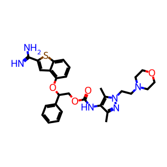 Cc1nn(CCN2CCOCC2)c(C)c1NC(=O)OCC(Oc1cccc2sc(C(=N)N)cc12)c1ccccc1